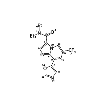 CCN(CC)C(=O)c1cnc2c(-c3cnco3)cc(C(F)(F)F)cn12